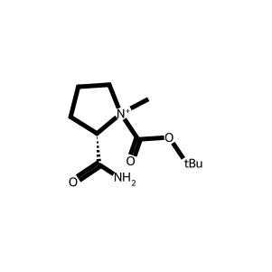 CC(C)(C)OC(=O)[N+]1(C)CCC[C@H]1C(N)=O